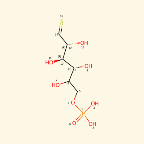 O=P(O)(O)OCC(O)[C@@H](O)[C@@H](O)[C@@H](O)C=S